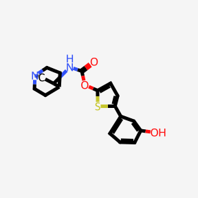 O=C(NC1CN2CCC1CC2)Oc1ccc(-c2cccc(O)c2)s1